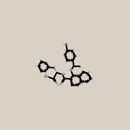 CC(Oc1c(C(=O)N[C@@H](Cc2ccccc2)C(=O)O)ccc2ccccc12)c1ccc(Br)cc1